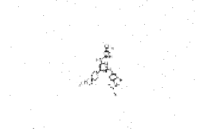 Cc1cc(Nc2cc(N3CCC4(CCN(C)C4)CC3)nc(Sc3ccc(NC(=O)C4CC4)c(F)c3)n2)[nH]n1